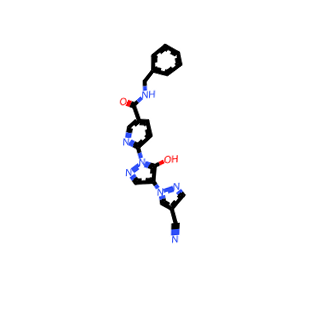 N#Cc1cnn(-c2cnn(-c3ccc(C(=O)NCc4ccccc4)cn3)c2O)c1